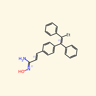 CC/C(=C(\c1ccccc1)c1ccc(/C=C/C(N)=N/O)cc1)c1ccccc1